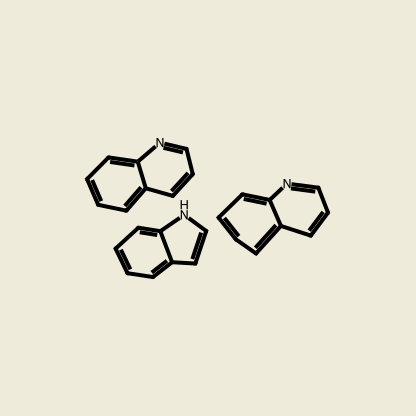 c1ccc2[nH]ccc2c1.c1ccc2ncccc2c1.c1ccc2ncccc2c1